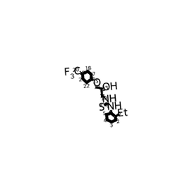 CCc1ccccc1NC(=S)NCC(O)COc1ccc(C(F)(F)F)cc1